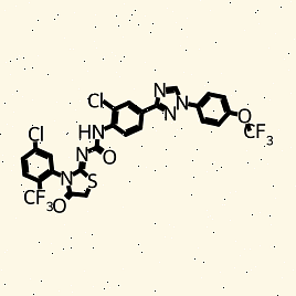 O=C(/N=C1\SCC(=O)N1c1cc(Cl)ccc1C(F)(F)F)Nc1ccc(-c2ncn(-c3ccc(OC(F)(F)F)cc3)n2)cc1Cl